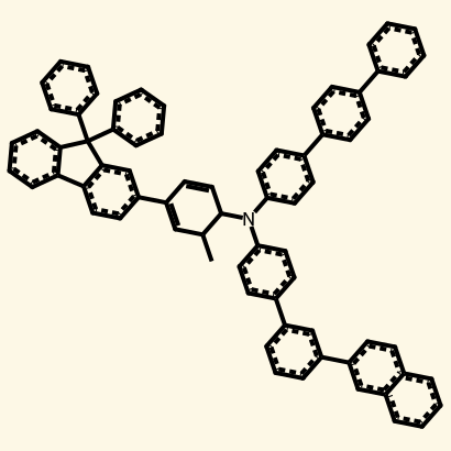 CC1C=C(c2ccc3c(c2)C(c2ccccc2)(c2ccccc2)c2ccccc2-3)C=CC1N(c1ccc(-c2ccc(-c3ccccc3)cc2)cc1)c1ccc(-c2cccc(-c3ccc4ccccc4c3)c2)cc1